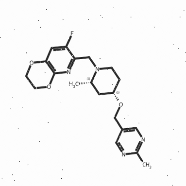 Cc1ncc(CO[C@H]2CCN(Cc3nc4c(cc3F)OCCO4)[C@@H](C)C2)cn1